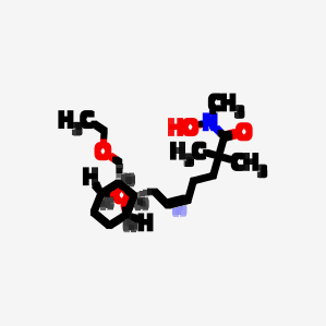 CCOC[C@@H]1[C@H](C/C=C\CCC(C)(C)C(=O)N(C)O)[C@@H]2CC[C@H]1O2